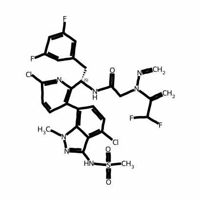 C=NN(CC(=O)N[C@@H](Cc1cc(F)cc(F)c1)c1nc(Cl)ccc1-c1ccc(Cl)c2c(NS(C)(=O)=O)nn(C)c12)C(=C)C(F)F